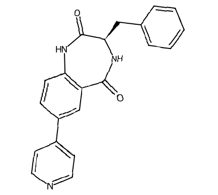 O=C1N[C@H](Cc2ccccc2)C(=O)Nc2ccc(-c3ccncc3)cc21